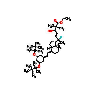 CCOC(=O)C(C)(C)C(O)/C=C/[C@](C)(F)[C@H]1CC[C@H]2/C(=C/C=C3C[C@@H](O[Si](C)(C)C(C)(C)C)C[C@H](O[Si](C)(C)C(C)(C)C)C3)CCC[C@@]21C